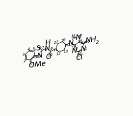 COc1cccc2sc(NC(=O)C3CCC(n4cnc5c(N)nc(Cl)nc54)CC3)nc12